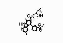 CCS(=O)(=O)c1cccc(-c2cc(C(=O)NCC(O)CN(C)C)c(C)c3[nH]c4ncc(C)cc4c23)c1